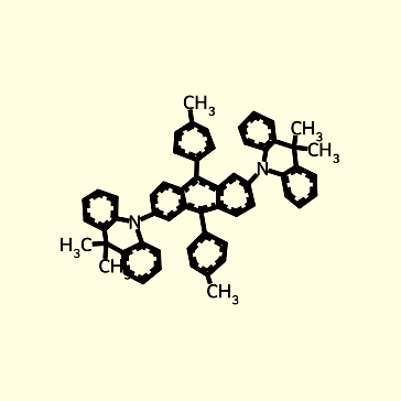 Cc1ccc(-c2c3ccc(N4c5ccccc5C(C)(C)c5ccccc54)cc3c(-c3ccc(C)cc3)c3ccc(N4c5ccccc5C(C)(C)c5ccccc54)cc23)cc1